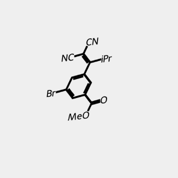 COC(=O)c1cc(Br)cc(C(=C(C#N)C#N)C(C)C)c1